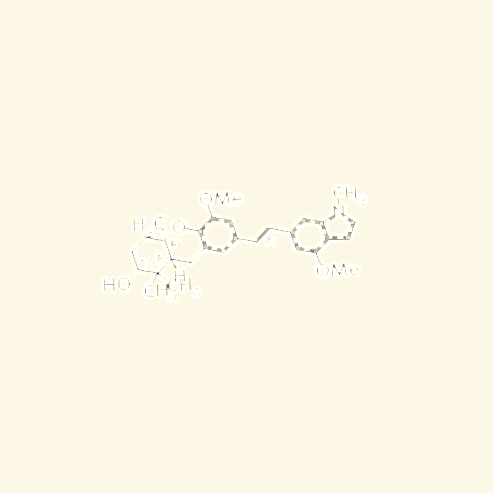 COc1cc(/C=C/c2cc(OC)c3ccn(C)c3c2)cc2c1O[C@]1(C)CC[C@@H](O)C(C)(C)[C@H]1C2